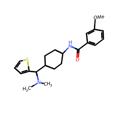 COc1cccc(C(=O)NC2CCC(C(c3cccs3)N(C)C)CC2)c1